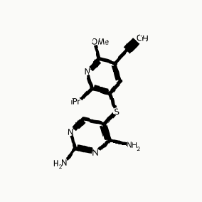 C#Cc1cc(Sc2cnc(N)nc2N)c(C(C)C)nc1OC